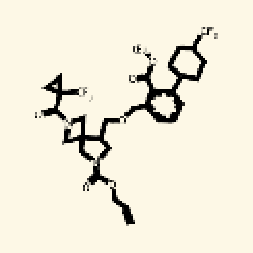 C=CCOC(=O)N1CC(COCc2cccc(C3CCC(C(F)(F)F)CC3)c2C(=O)OC(C)(C)C)C2(C1)CN(C(=O)C1(C(F)(F)F)CC1)C2